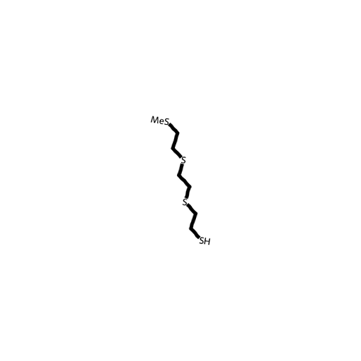 CSCCSCCSCCS